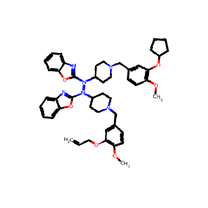 C=CCOc1cc(CN2CCC(N(c3nc4ccccc4o3)N(c3nc4ccccc4o3)C3CCN(Cc4ccc(OC)c(OC5CCCC5)c4)CC3)CC2)ccc1OC